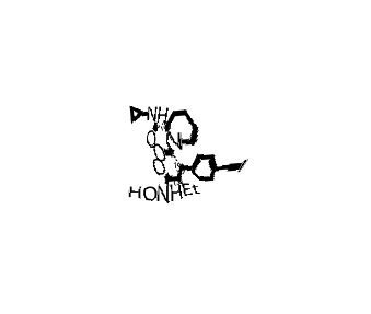 CC[C@H](C(=O)NO)[C@H](C(=O)N1CCCC[C@H]1C(=O)NC1CC1)c1ccc(C#I)cc1